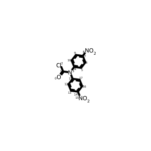 O=C(Cl)N(c1ccc([N+](=O)[O-])cc1)c1ccc([N+](=O)[O-])cc1